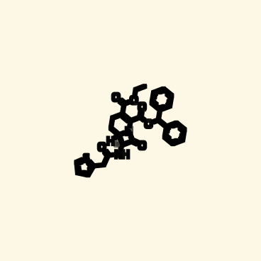 CCOC(=O)C1=C(C(=O)OC(c2ccccc2)c2ccccc2)N2C(=O)[C@@H](NC(=O)Cc3cccs3)[C@@H]2CC1